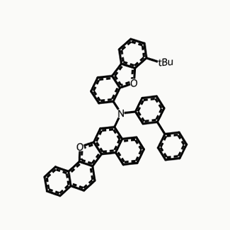 CC(C)(C)c1cccc2c1oc1c(N(c3cccc(-c4ccccc4)c3)c3cc4oc5c6ccccc6ccc5c4c4ccccc34)cccc12